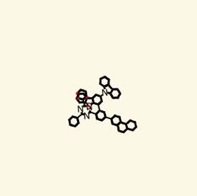 c1ccc(-c2nc(-c3ccccc3)nc(-c3ccc(-c4ccc5c(ccc6ccccc65)c4)cc3-c3cc(-n4c5ccccc5c5ccccc54)cc4c3sc3ccccc34)n2)cc1